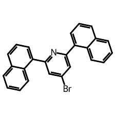 Brc1cc(-c2cccc3ccccc23)nc(-c2cccc3ccccc23)c1